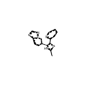 Cc1nc(-c2ccccn2)c(-c2ccc3ncnn3c2)[nH]1